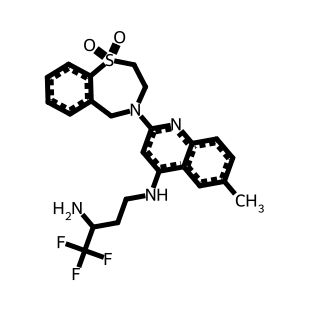 Cc1ccc2nc(N3CCS(=O)(=O)c4ccccc4C3)cc(NCCC(N)C(F)(F)F)c2c1